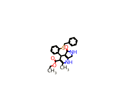 CCOC(=O)C1=C(C)NC2=C(C(=O)NC2)C1c1ccccc1SCc1ccccc1